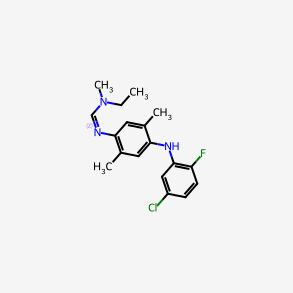 CCN(C)/C=N\c1cc(C)c(Nc2cc(Cl)ccc2F)cc1C